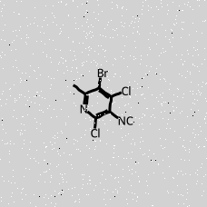 [C-]#[N+]c1c(Cl)nc(C)c(Br)c1Cl